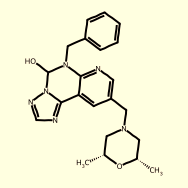 C[C@@H]1CN(Cc2cnc3c(c2)-c2ncnn2C(O)N3Cc2ccccc2)C[C@H](C)O1